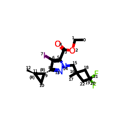 CCOC(=O)c1c(I)c([C@@H]2C[C@H]2C)nn1CC1(C)CC(F)(F)C1